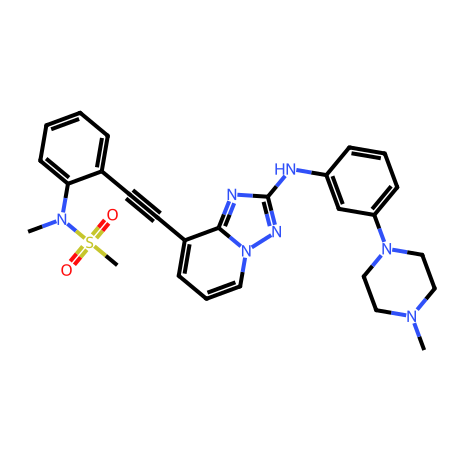 CN1CCN(c2cccc(Nc3nc4c(C#Cc5ccccc5N(C)S(C)(=O)=O)cccn4n3)c2)CC1